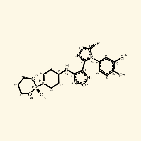 O=c1onc(-c2nonc2NC2CCN(P3(=O)OCCCO3)CC2)n1-c1ccc(F)c(Br)c1